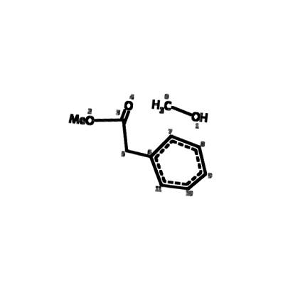 CO.COC(=O)Cc1ccccc1